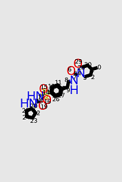 CC1CCN(C(=O)NCCc2ccc(S(=O)(=O)NC(=O)NC3CCCC3)cc2)C(=O)C1